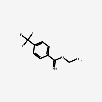 CCOC(=N)c1ccc(C(F)(F)F)cc1